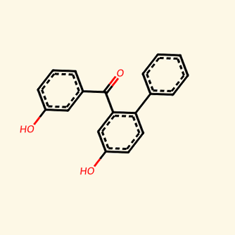 O=C(c1cccc(O)c1)c1cc(O)ccc1-c1ccccc1